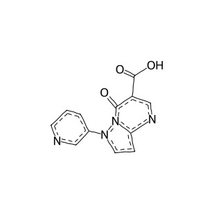 O=C(O)c1cnc2ccn(-c3cccnc3)n2c1=O